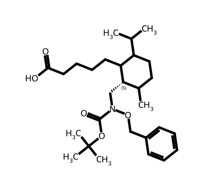 CC(C)C1CCC(C)[C@H](CN(OCc2ccccc2)C(=O)OC(C)(C)C)C1CCCCC(=O)O